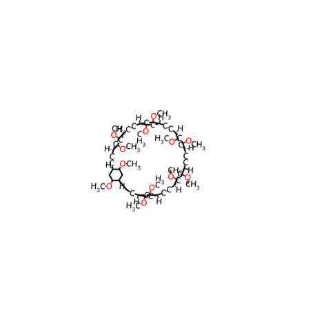 COC1C[C@H]2CC[C@H]3CC(OC)[C@H](CC[C@H]4CC(OC)[C@@H](CC[C@@H]5CC(OC)[C@H](CC[C@H]6CC(OC)[C@@H](CC[C@H]7CC(OC)[C@H](CC[C@@H]1CC2OC)CC7OC)CC6OC)CC5OC)CC4OC)CC3OC